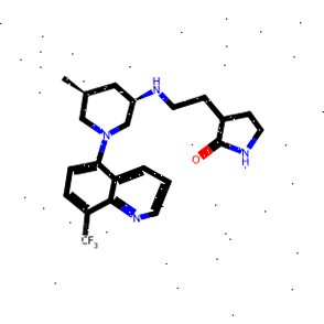 C[C@H]1C[C@@H](NCCC2CCNC2=O)CN(c2ccc(C(F)(F)F)c3ncccc23)C1